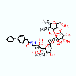 CC(=O)NC1[C@H](C)OC(CO)[C@@H](O[C@@H]2OC(CO[C@]3(C(=O)O)C[C@@H](O)[C@@H](NC(C)=O)C([C@H](O)[C@H](O)CNC(=O)Cc4ccc(-c5ccccc5)cc4)O3)[C@H](O)[C@H](O)C2O)[C@@H]1O